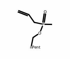 C=CCP(C)(=O)OCCCCCC